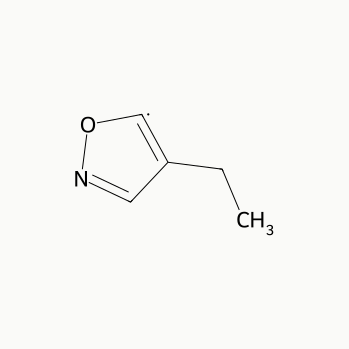 CCc1[c]onc1